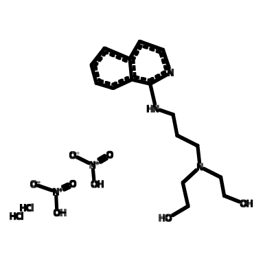 Cl.Cl.O=[N+]([O-])O.O=[N+]([O-])O.OCCN(CCO)CCCNc1nccc2ccccc12